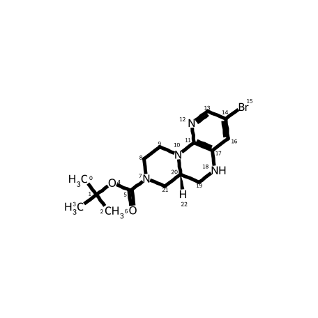 CC(C)(C)OC(=O)N1CCN2c3ncc(Br)cc3NC[C@@H]2C1